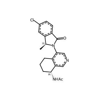 CC(=O)N[C@@H]1CCCc2c1cncc2N1C(=O)c2ccc(Cl)cc2[C@@H]1C